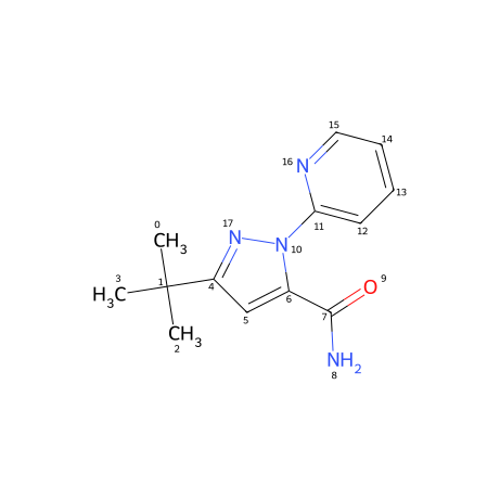 CC(C)(C)c1cc(C(N)=O)n(-c2ccccn2)n1